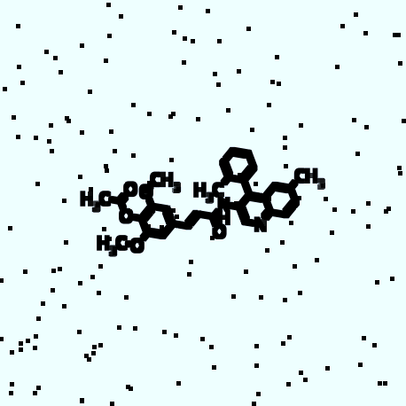 COc1cc(C=CC(=O)Nc2cnc3ccc(C)cc3c2-c2ccccc2C)cc(OC)c1OC(C)=O